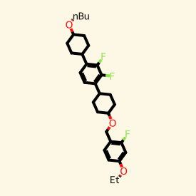 CCCCOC1CCC(c2ccc(C3CCC(OCc4ccc(OCC)cc4F)CC3)c(F)c2F)CC1